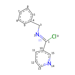 Cl/C(=N\Cc1ccccc1)c1cccnc1